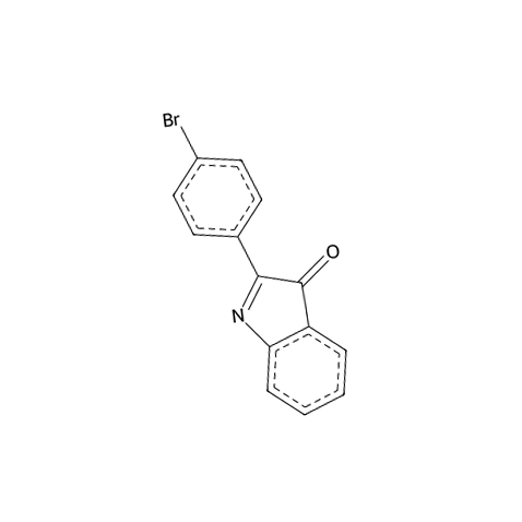 O=C1C(c2ccc(Br)cc2)=Nc2ccccc21